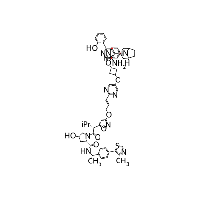 Cc1ncsc1-c1ccc([C@H](C)NC(=O)[C@@H]2C[C@@H](O)CN2C(=O)[C@@H](c2cc(OC/C=C/c3ncc(OC4CC(Oc5cc(N6C7CC[C@@H]6CN(c6cc(-c8ccccc8O)nnc6N)C7)ccn5)C4)cn3)no2)C(C)C)cc1